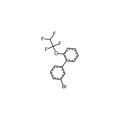 FC(F)C(F)(F)Oc1ccccc1-c1cccc(Br)c1